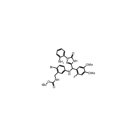 COc1cc(F)c(C(Nc2ccc(Br)c(CNC(=O)OC(C)(C)C)c2)c2nn(-c3ccccc3N)c(=O)[nH]2)cc1OC